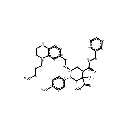 CNC(=O)[C@]1(C)C[C@H](c2ccc(OC)cc2)[C@@H](OCc2ccc3c(c2)N(CCCOC)CCO3)CN1C(=O)OCc1ccccc1